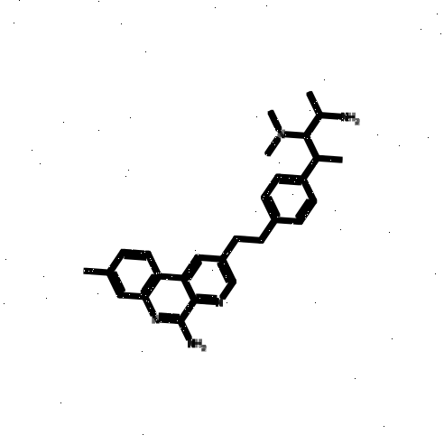 Cc1ccc2c(c1)nc(N)c1ncc(CCc3ccc(C(C)C(C(C)N)N(C)C)cc3)cc12